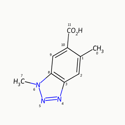 Cc1cc2nnn(C)c2cc1C(=O)O